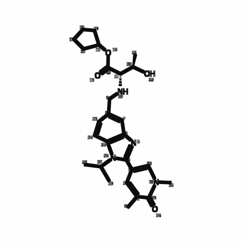 Cc1cc(-c2nc3cc(CN[C@H](C(=O)OC4CCCC4)[C@@H](C)O)ccc3n2C(C)C)cn(C)c1=O